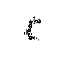 O=C(Cc1cccc(OC(F)(F)F)c1)Nc1ccc(N2CCC(c3nnc(NC(=O)Cc4ccccn4)s3)CC2)cn1